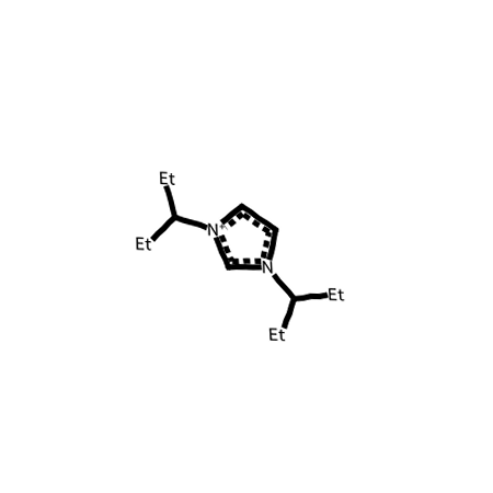 CCC(CC)n1cc[n+](C(CC)CC)c1